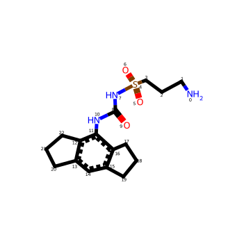 NCCCS(=O)(=O)NC(=O)Nc1c2c(cc3c1CCC3)CCC2